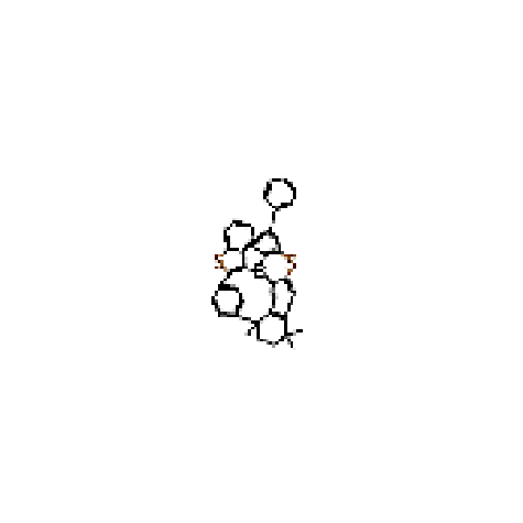 CC1(C)CCC2(C)c3ccc(cc3)-c3sc4cccc5c4c3B3c4cc2c1cc4Sc1cc(-c2ccccc2)cc-5c13